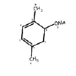 COC1CC(C)=CC=C1C